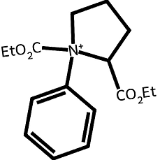 CCOC(=O)C1CCC[N+]1(C(=O)OCC)c1ccccc1